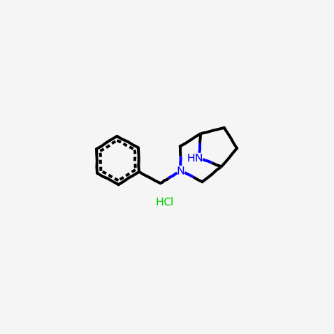 Cl.c1ccc(CN2CC3CCC(C2)N3)cc1